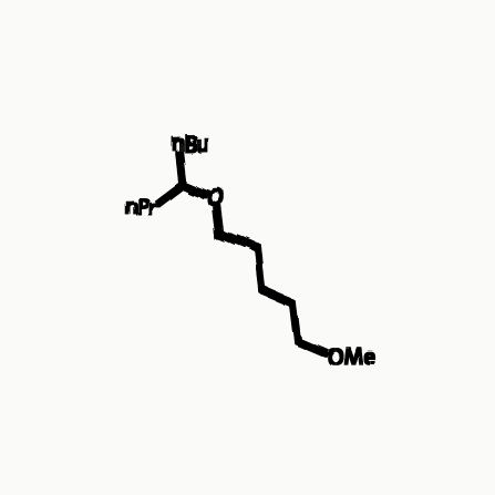 CCCCC(CCC)OCCCCCOC